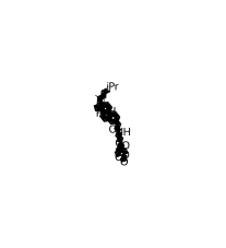 CC(C)CCC[C@@H](C)[C@H]1CC[C@H]2[C@@H]3CC=C4CC(CC(=O)NCCOC(=O)C5(C)COC(=O)OC5)CC[C@]4(C)[C@H]3CC[C@]12C